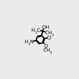 COc1cc(N)cc(C(C)(C)O)c1Cl